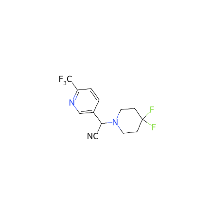 N#CC(c1ccc(C(F)(F)F)nc1)N1CCC(F)(F)CC1